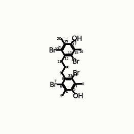 Cc1c(O)c(C)c(Br)c(CCCc2c(Br)c(C)c(O)c(C)c2Br)c1Br